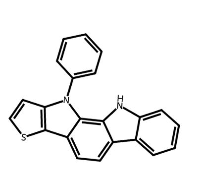 c1ccc(-n2c3ccsc3c3ccc4c5ccccc5[nH]c4c32)cc1